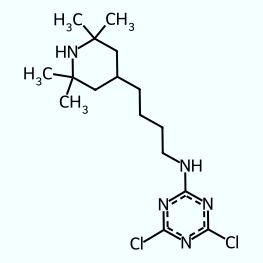 CC1(C)CC(CCCCNc2nc(Cl)nc(Cl)n2)CC(C)(C)N1